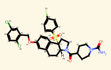 NC(=O)N1CCC(C(=O)N2CC[C@@]3(S(=O)(=O)c4ccc(F)cc4)c4ccc(OCc5cc(Cl)ccc5Cl)cc4CC[C@@H]23)CC1